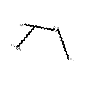 CCCCCCCCCCCCCCCCCC(=O)OC(=O)CCCCCCCCCCC(CCCCCC)CCCCCCCCCCCCCC(C)C